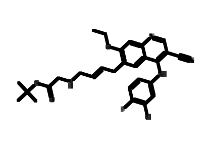 CCOc1cc2ncc(C#N)c(Nc3ccc(F)c(Cl)c3)c2cc1CC=CCNCC(=O)OC(C)(C)C